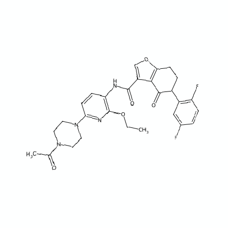 CCOc1nc(N2CCN(C(C)=O)CC2)ccc1NC(=O)c1coc2c1C(=O)C(c1cc(F)ccc1F)CC2